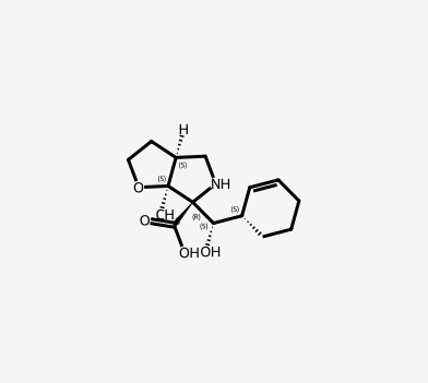 C[C@]12OCC[C@H]1CN[C@]2(C(=O)O)[C@@H](O)[C@@H]1C=CCCC1